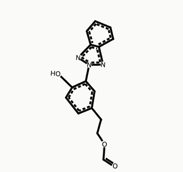 O=COCCc1ccc(O)c(-n2nc3ccccc3n2)c1